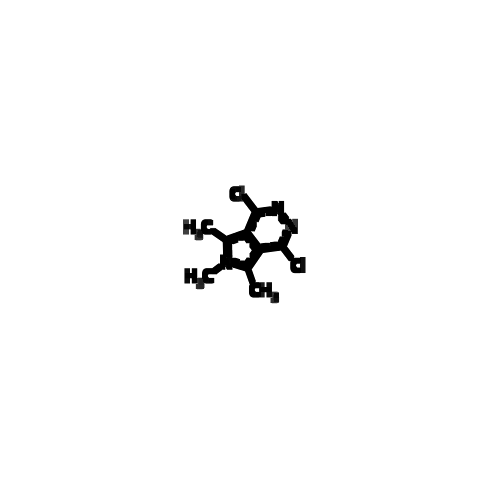 Cc1c2c(Cl)nnc(Cl)c2c(C)n1C